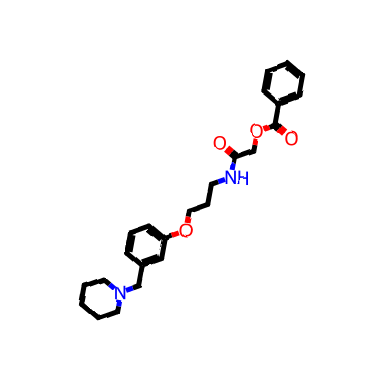 O=C(COC(=O)c1ccccc1)NCCCOc1cccc(CN2CCCCC2)c1